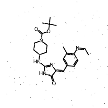 C/C=N\c1ccc(/C=C2\N=C(NC3CCN(C(=O)OC(C)(C)C)CC3)NC2=O)cc1C